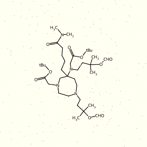 CN(C)C(=O)CCCCC1(N(CCC(C)(C)OC=O)CC(=O)OC(C)(C)C)CCN(CCC(C)(C)OC=O)CCN(CC(=O)OC(C)(C)C)C1